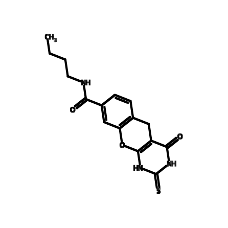 CCCCNC(=O)c1ccc2c(c1)Oc1[nH]c(=S)[nH]c(=O)c1C2